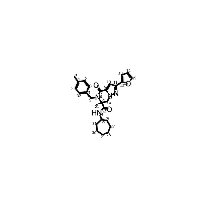 Cc1ccc(CN2C(=O)c3cc(-c4ccco4)nn3CC2(C)C(=O)NC2CCCCCC2)cc1